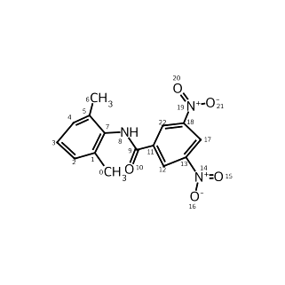 Cc1cccc(C)c1NC(=O)c1cc([N+](=O)[O-])cc([N+](=O)[O-])c1